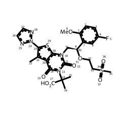 COc1ccc(F)cc1[C@H](Cn1c(=O)n(C(C)(C)C(=O)O)c(=O)c2c(C)c(-n3nccn3)sc21)OCCS(C)(=O)=O